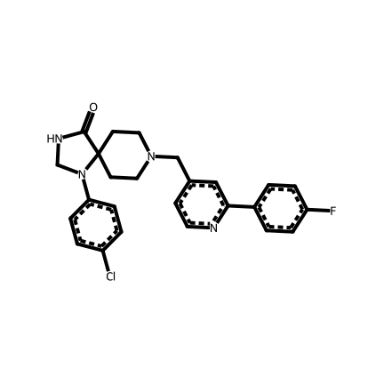 O=C1NCN(c2ccc(Cl)cc2)C12CCN(Cc1ccnc(-c3ccc(F)cc3)c1)CC2